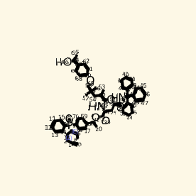 C#C/C=C\C(=C/C)P(=O)(c1ccccc1)c1ccc(C(C)OC(=O)C(CCC(=O)NC(c2ccccc2)(c2ccccc2)c2ccccc2)NC(=O)C(C)CC(C)(C)COc2ccc(C(C)O)cc2)cc1